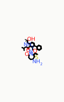 CC(C)C(N)C(=O)c1c(C[C@@H](C)O)ccc(-c2ccccc2)c1C(=O)N(C)N1C(=O)CCC(N)c2sccc21